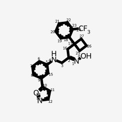 O/N=C(/CNc1cccc(-c2ccno2)c1)CC1(c2ccccc2C(F)(F)F)CCC1